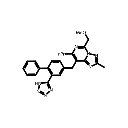 CCCc1nc(COC)n2nc(C)nc2c1Cc1ccc(-c2ccccc2)c(-c2nnn[nH]2)c1